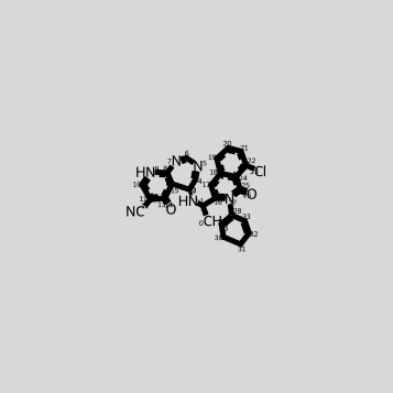 CC(N[C@@H]1C=NC=Nc2[nH]cc(C#N)c(=O)c21)c1cc2cccc(Cl)c2c(=O)n1C1=CCCC=C1